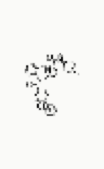 CN1CCC(N(C)C(=O)c2ccc3n2Cc2ccccc2N(C(=O)C2=CC(C)(C(F)(F)F)C(c4ccccc4)C=C2)C3)CC1